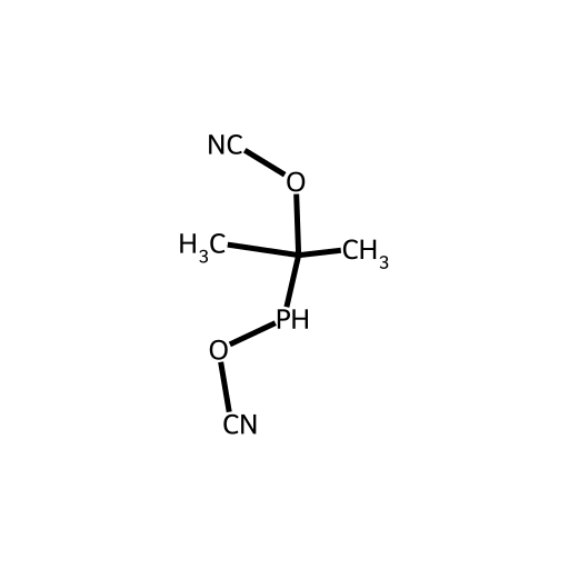 CC(C)(OC#N)POC#N